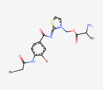 CCC(C)C(N)C(=O)OCn1ccsc1=NC(=O)c1ccc(NC(=O)CC(C)(C)C)c(Br)c1